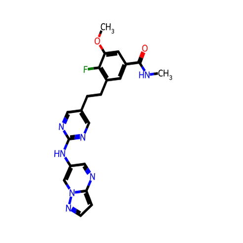 CNC(=O)c1cc(CCc2cnc(Nc3cnc4ccnn4c3)nc2)c(F)c(OC)c1